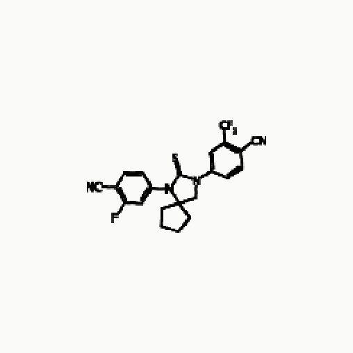 N#Cc1ccc(N2C(=S)N(c3ccc(C#N)c(C(F)(F)F)c3)CC23CCCC3)cc1F